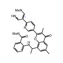 CN/C=C(\C=N)c1ccc(-c2oc3c(C(C)Nc4ccccc4C(=O)NC)cc(C)cc3c(=O)c2C)cn1